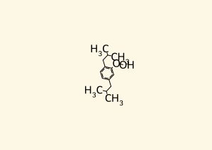 CC(C)Cc1ccc(CC(C)C)c(OO)c1